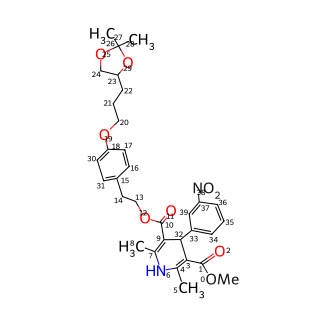 COC(=O)C1=C(C)NC(C)=C(C(=O)OCCc2ccc(OCCCC3COC(C)(C)O3)cc2)C1c1cccc([N+](=O)[O-])c1